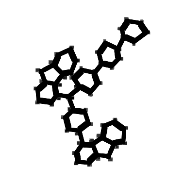 c1ccc(-c2ccc(-c3ccc(N(c4ccc(-c5cccc6oc7ccccc7c56)cc4)c4cccc5oc6ccccc6c45)cc3)cc2)cc1